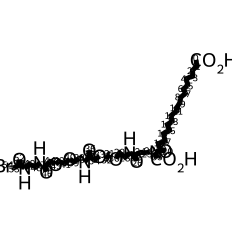 O=C(O)CCCCCCCCCCCCCCCCCCC(=O)N(CCCC(=O)NCCOCCOCC(=O)NCCOCCOCC(=O)NCCNC(=O)CBr)C(=O)O